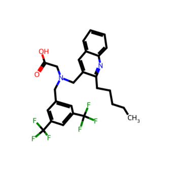 CCCCCc1nc2ccccc2cc1CN(CC(=O)O)Cc1cc(C(F)(F)F)cc(C(F)(F)F)c1